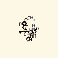 CCOc1cc(F)c(Cn2nc(-c3nc4c(c(Nc5ccncn5)n3)OCC(=O)N4)c(C)c2C2CC2)c(F)c1